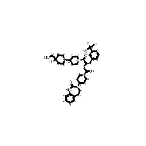 O=C(O[C@H](Cc1cccc(C(F)(F)F)c1)C(=O)N1CCC(N2CCC(O)(CO)CC2)CC1)N1CCC(N2CCc3ccccc3NC2=O)CC1